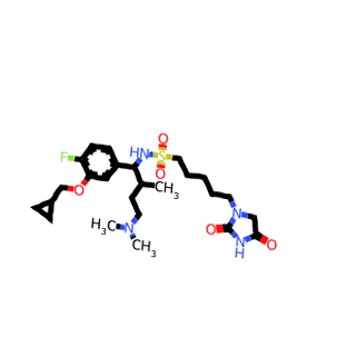 CC(CCN(C)C)C(NS(=O)(=O)CCCCCN1CC(=O)NC1=O)c1ccc(F)c(OCC2CC2)c1